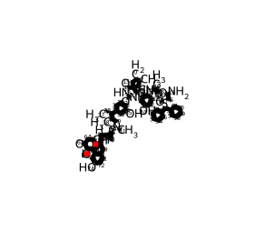 C=CCC1(C(C)CC)C(=O)NC(=O)NC1=O.CC(=O)Nc1ccc(O)cc1.CC[C@@H](c1cccc(O)c1)[C@@H](C)CN(C)C.NC(=O)C[S+]([O-])C(c1ccccc1)c1ccccc1.O=C1CC[C@@]2(O)[C@H]3Cc4ccc(O)c5c4[C@@]2(CCN3CC2CC2)[C@H]1O5